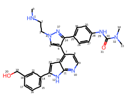 CNCCn1cc(-c2ccnc3[nH]c(-c4cccc(CO)c4)cc23)c(-c2ccc(NC(=O)N(C)C)cc2)n1